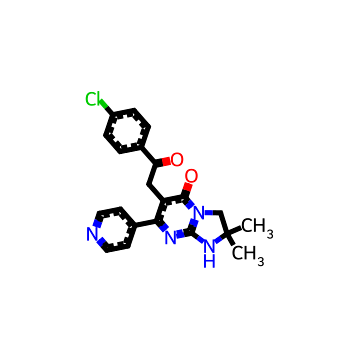 CC1(C)Cn2c(nc(-c3ccncc3)c(CC(=O)c3ccc(Cl)cc3)c2=O)N1